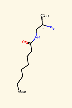 CCCCCCCCCCCCCCCC(=O)NC[C@H](N)C(=O)O